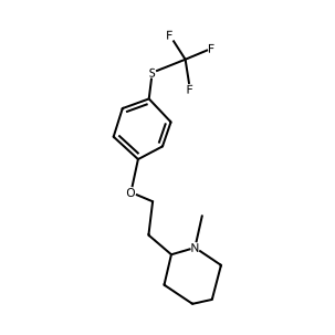 CN1CCCCC1CCOc1ccc(SC(F)(F)F)cc1